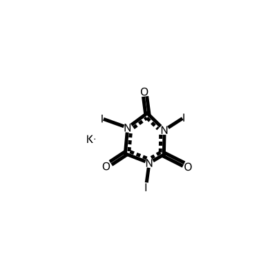 O=c1n(I)c(=O)n(I)c(=O)n1I.[K]